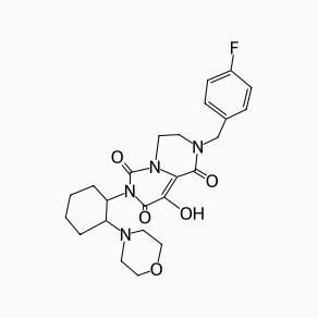 O=C1c2c(O)c(=O)n(C3CCCCC3N3CCOCC3)c(=O)n2CCN1Cc1ccc(F)cc1